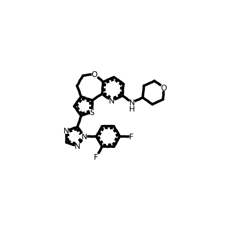 Fc1ccc(-n2ncnc2-c2cc3c(s2)-c2nc(NC4CCOCC4)ccc2OCC3)c(F)c1